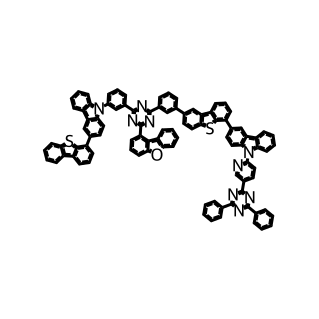 c1ccc(-c2nc(-c3ccccc3)nc(-c3ccc(-n4c5ccccc5c5cc(-c6cccc7c6sc6ccc(-c8cccc(-c9nc(-c%10cccc(-n%11c%12ccccc%12c%12cc(-c%13cccc%14c%13sc%13ccccc%13%14)ccc%12%11)c%10)nc(-c%10cccc%11oc%12ccccc%12c%10%11)n9)c8)cc67)ccc54)nc3)n2)cc1